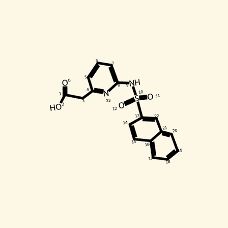 O=C(O)Cc1cccc(NS(=O)(=O)c2ccc3ccccc3c2)n1